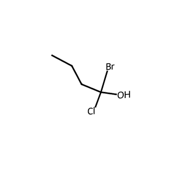 CCCC(O)(Cl)Br